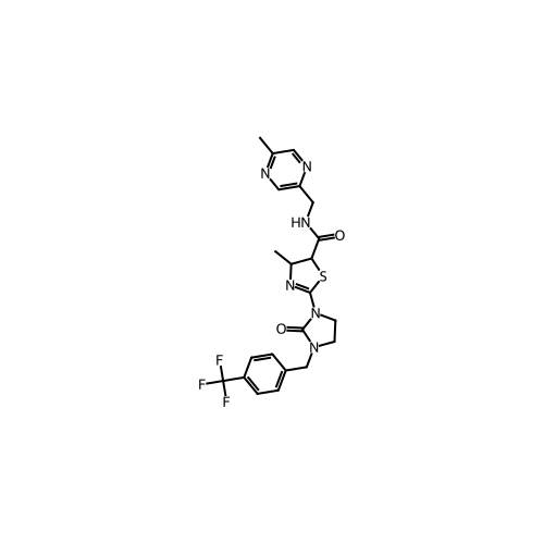 Cc1cnc(CNC(=O)C2SC(N3CCN(Cc4ccc(C(F)(F)F)cc4)C3=O)=NC2C)cn1